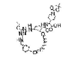 CCOc1nc2nc(n1)Nc1ccc(C(=O)NC(C(=O)O)C3CCN(C(=O)OC(C)(C)C)CC3)c(c1)OCCCCCCOc1ccc(cc1)CN2